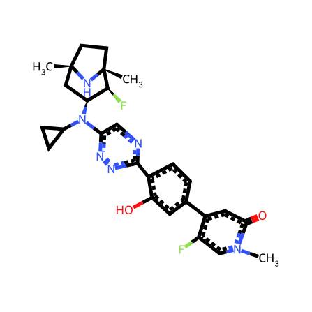 Cn1cc(F)c(-c2ccc(-c3ncc(N(C4CC4)[C@H]4C[C@]5(C)CC[C@@](C)(N5)[C@H]4F)nn3)c(O)c2)cc1=O